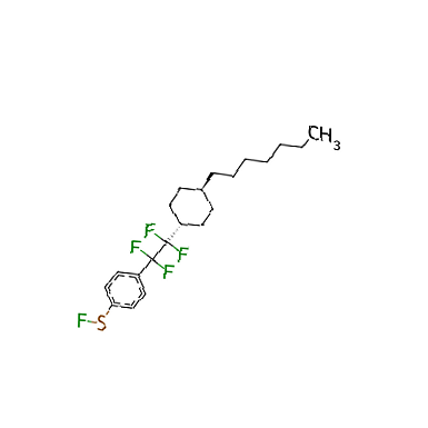 CCCCCCC[C@H]1CC[C@H](C(F)(F)C(F)(F)c2ccc(SF)cc2)CC1